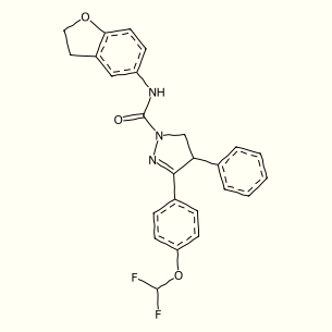 O=C(Nc1ccc2c(c1)CCO2)N1CC(c2ccccc2)C(c2ccc(OC(F)F)cc2)=N1